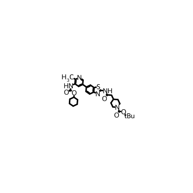 Cc1ncc(-c2ccc3nc(NC(=O)CC4CCN(C(=O)OC(C)(C)C)CC4)sc3c2)cc1NC(=O)OC1CCCCC1